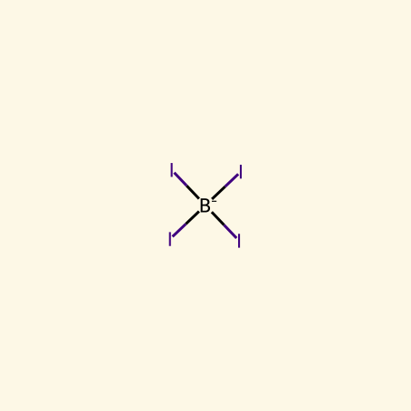 I[B-](I)(I)I